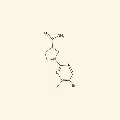 Cc1nc(N2CCC(C(N)=O)C2)ncc1Br